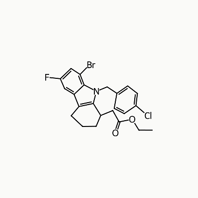 CCOC(=O)CC1CCCc2c1n(Cc1ccc(Cl)cc1)c1c(Br)cc(F)cc21